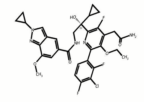 CCOc1c(-c2ccc(F)c(Cl)c2F)nc([C@@](O)(CNC(=O)c2cc(OC)c3nn(C4CC4)cc3c2)C2CC2)c(F)c1CC(N)=O